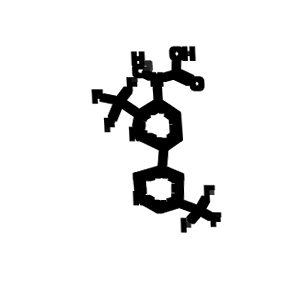 CN(C(=O)O)c1ccc(-c2cncc(C(F)(F)F)c2)nc1C(F)(F)F